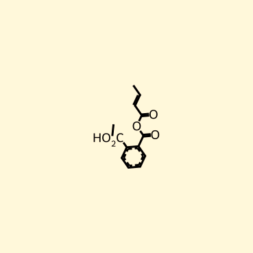 CC.CC=CC(=O)OC(=O)c1ccccc1C(=O)O